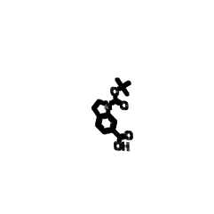 CC(C)(C)OC(=O)N1CCc2ccc(C(=O)O)cc21